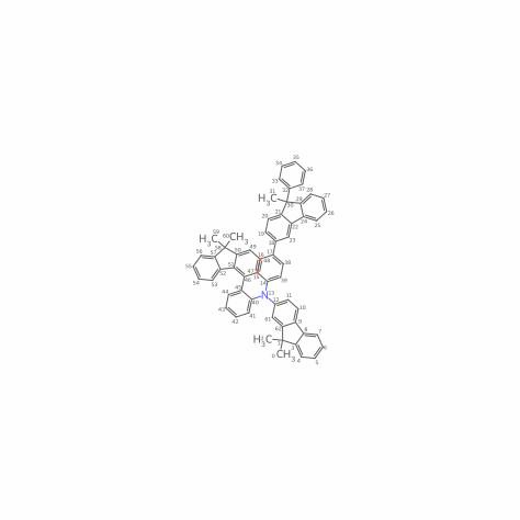 CC1(C)c2ccccc2-c2ccc(N(c3ccc(-c4ccc5c(c4)-c4ccccc4C5(C)c4ccccc4)cc3)c3ccccc3-c3cccc4c3-c3ccccc3C4(C)C)cc21